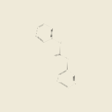 O=C(Nc1ccccc1)Nc1cncnc1